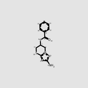 Nc1nc2n(n1)CC(SC(=O)c1ccccc1)CS2